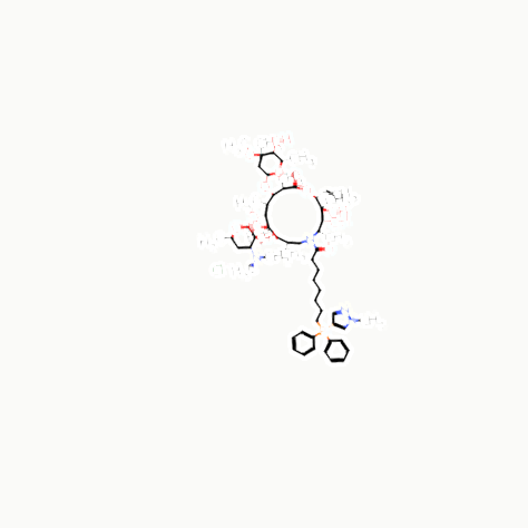 CC[C@H]1OC(=O)[C@H](C)[C@@H](O[C@H]2C[C@@](C)(OC)[C@@H](O)[C@H](C)O2)[C@H](C)[C@@H](O[C@@H]2O[C@H](C)C[C@H](N(C)C)[C@H]2O)[C@](C)(O)C[C@@H](C)CN(C(=O)CCCCCCC[P+](c2ccccc2)(c2ccccc2)c2cnn(C)c2)[C@H](C)[C@@H](O)[C@]1(C)O.[Cl-]